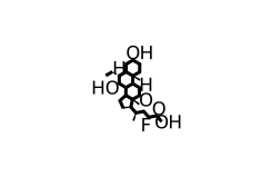 CC[C@H]1[C@@H](O)C2C3CC[C@H]([C@H](C)C[C@H](F)C(=O)O)[C@@]3(C)[C@@H](O)CC2[C@@]2(C)CC[C@@H](O)C[C@@H]12